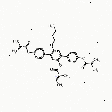 C=C(C)C(=O)Oc1ccc(-c2cc(OC(=O)/C(C)=C/C)c(-c3ccc(OC(=O)C(=C)C)cc3)cc2OCCCC)cc1